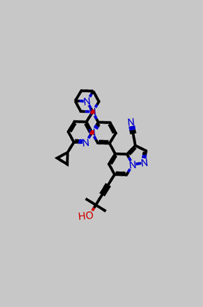 CC(C)(O)C#Cc1cc(-c2ccc(N3CC4CC(C3)N4Cc3ccc(C4CC4)nc3)nc2)c2c(C#N)cnn2c1